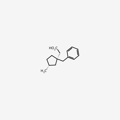 C[C@@H]1CC[C@@](CC(=O)O)(Cc2ccccc2)C1